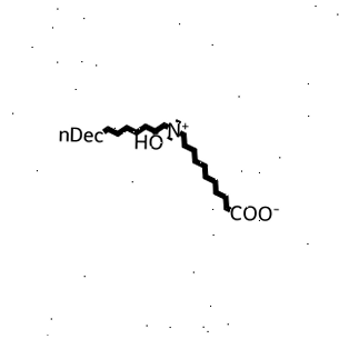 CCCCCCCCCCCCCCCC(O)C[N+](C)(C)CCCCCCCCCCC(=O)[O-]